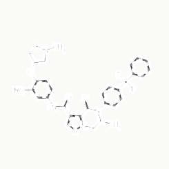 C[C@H]1Cn2ncc(C(=O)Nc3ccc(O[C@@H]4CCN(C)C4)c(C#N)c3)c2C(=O)N1c1ccc(C(F)(F)c2ccccc2)cc1